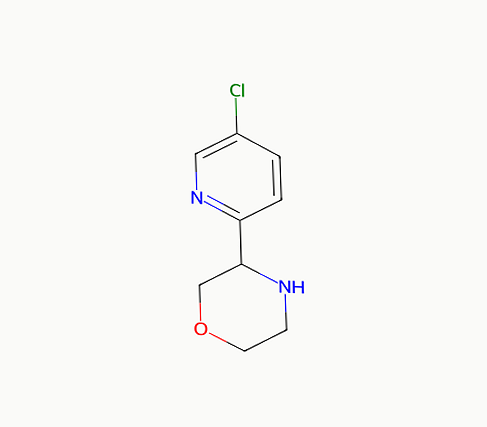 Clc1ccc(C2COCCN2)nc1